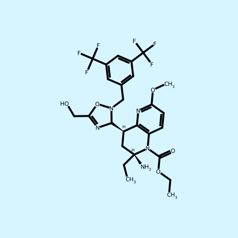 CCOC(=O)N1c2ccc(OC)nc2[C@H](C2N=C(CO)ON2Cc2cc(C(F)(F)F)cc(C(F)(F)F)c2)C[C@@]1(N)CC